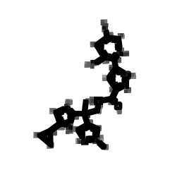 Cn1cc(C(C)(CNC(=O)c2cc(-c3ncc(F)cc3F)on2)c2nc(C3CC3)cs2)cn1